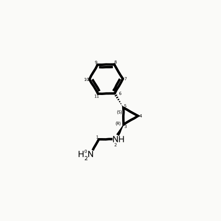 NCN[C@@H]1C[C@H]1c1ccccc1